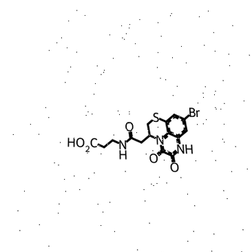 O=C(O)CCNC(=O)CC1CSc2cc(Br)cc3[nH]c(=O)c(=O)n1c23